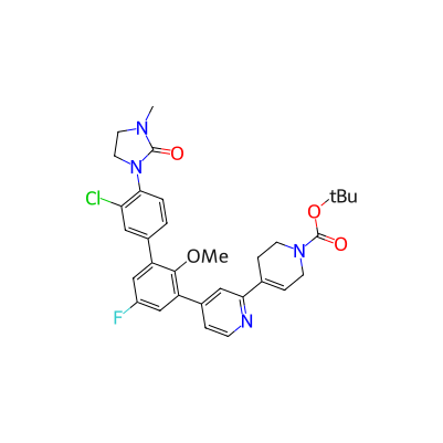 COc1c(-c2ccnc(C3=CCN(C(=O)OC(C)(C)C)CC3)c2)cc(F)cc1-c1ccc(N2CCN(C)C2=O)c(Cl)c1